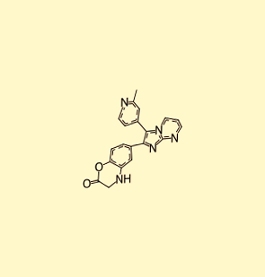 Cc1cc(-c2c(-c3ccc4c(c3)NCC(=O)O4)nc3ncccn23)ccn1